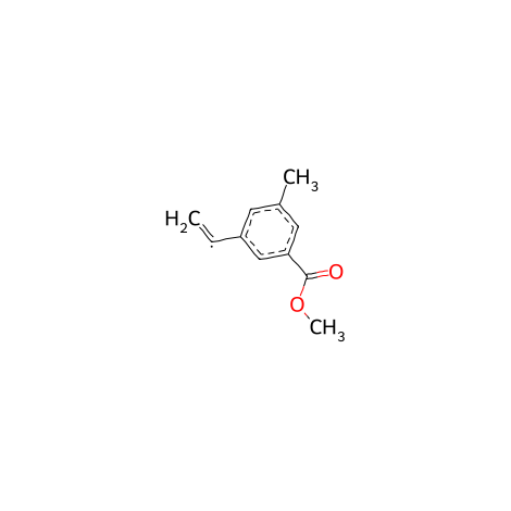 C=[C]c1cc(C)cc(C(=O)OC)c1